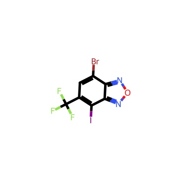 FC(F)(F)c1cc(Br)c2nonc2c1I